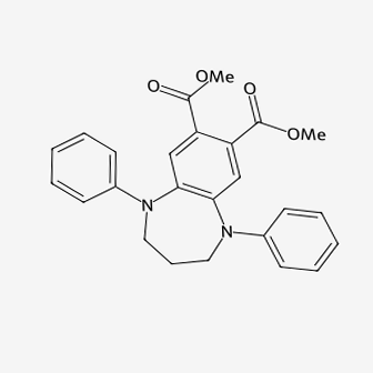 COC(=O)c1cc2c(cc1C(=O)OC)N(c1ccccc1)CCCN2c1ccccc1